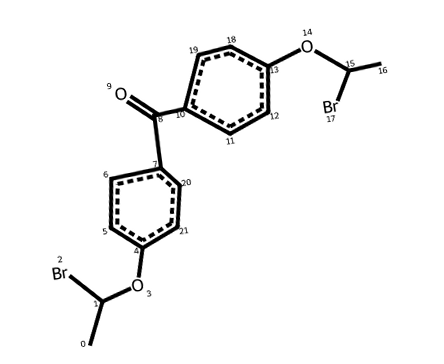 CC(Br)Oc1ccc(C(=O)c2ccc(OC(C)Br)cc2)cc1